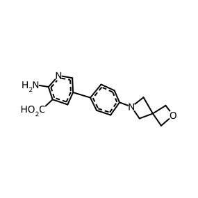 Nc1ncc(-c2ccc(N3CC4(COC4)C3)cc2)cc1C(=O)O